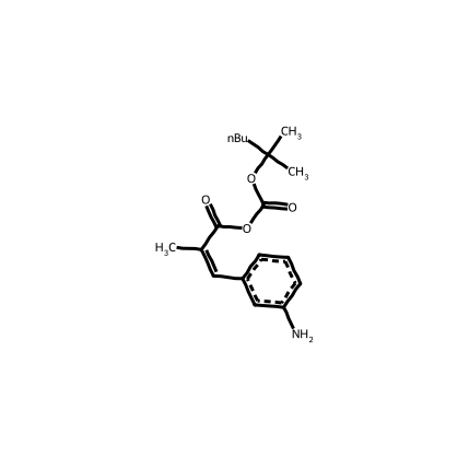 CCCCC(C)(C)OC(=O)OC(=O)C(C)=Cc1cccc(N)c1